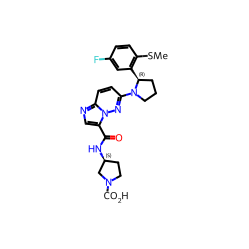 CSc1ccc(F)cc1[C@H]1CCCN1c1ccc2ncc(C(=O)N[C@H]3CCN(C(=O)O)C3)n2n1